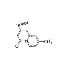 CCCCCCCc1cc(=O)n2ccc(C)cc2c1